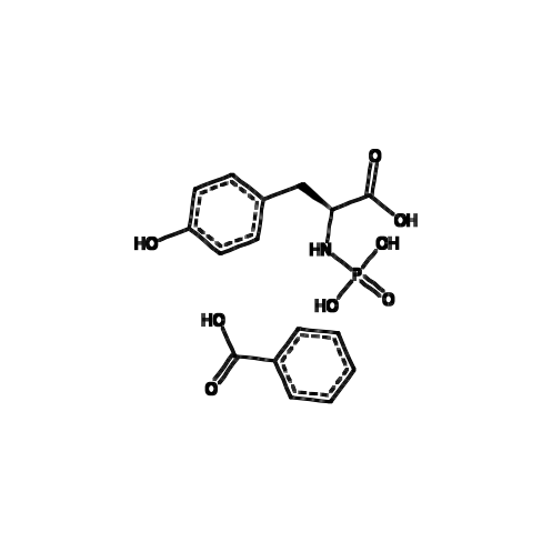 O=C(O)[C@H](Cc1ccc(O)cc1)NP(=O)(O)O.O=C(O)c1ccccc1